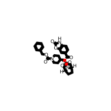 O=C(NC1C[C@H]2CC[C@@H](C1)N2S(=O)(=O)CC1CCN(C(=O)OCc2ccccc2)CC1)c1ccc2[nH]c(=O)oc2c1